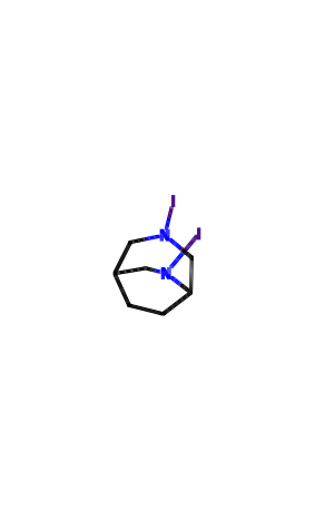 IN1CC2CCC(C1)N(I)C2